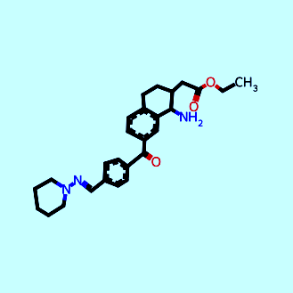 CCOC(=O)CC1CCc2ccc(C(=O)c3ccc(C=NN4CCCCC4)cc3)cc2C1N